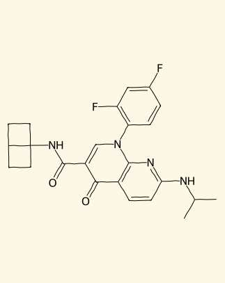 CC(C)Nc1ccc2c(=O)c(C(=O)NC34CCC3CC4)cn(-c3ccc(F)cc3F)c2n1